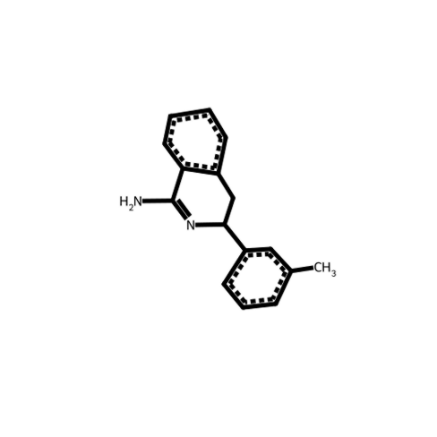 Cc1cccc(C2Cc3ccccc3C(N)=N2)c1